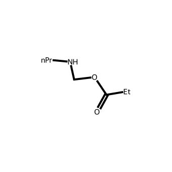 CCCNCOC(=O)CC